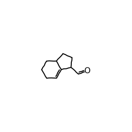 O=CC1CCC2CCCC=C12